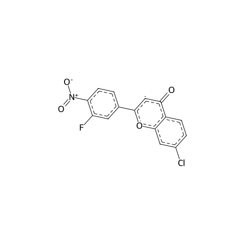 O=c1[c]c(-c2ccc([N+](=O)[O-])c(F)c2)oc2cc(Cl)ccc12